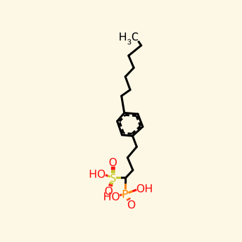 CCCCCCCc1ccc(CCCC(P(=O)(O)O)S(=O)(=O)O)cc1